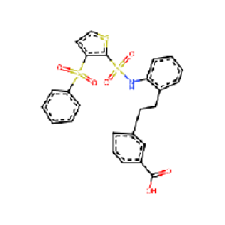 O=C(O)c1cccc(CCc2ccccc2NS(=O)(=O)c2sccc2S(=O)(=O)c2ccccc2)c1